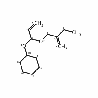 C=C[C@@H](OCC(=C)CC)OC1CCCCC1